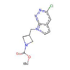 CC(C)(C)OC(=O)N1CC(Cn2ccc3cc(Cl)nnc32)C1